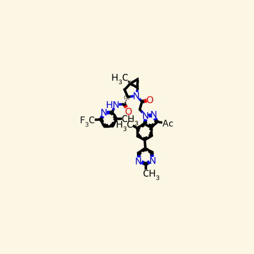 CC(=O)c1nn(CC(=O)N2C3C[C@]3(C)C[C@H]2C(=O)Nc2nc(C(F)(F)F)ccc2C)c2c(C)cc(-c3cnc(C)nc3)cc12